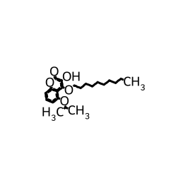 CCCCCCCCCCOc1c(O)c(=O)oc2cccc(OC(C)C)c12